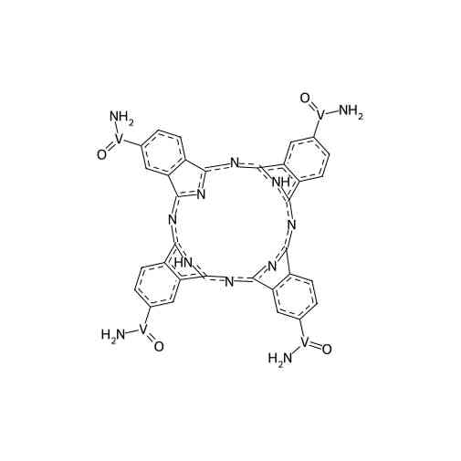 [NH2][V](=[O])[c]1ccc2c(c1)-c1nc-2nc2[nH]c(nc3nc(nc4[nH]c(n1)c1cc[c]([V]([NH2])=[O])cc41)-c1c[c]([V]([NH2])=[O])ccc1-3)c1cc[c]([V]([NH2])=[O])cc21